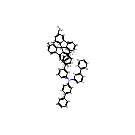 Cc1cc(C(C)(C)C)cc2c1C1(c3ccccc3-2)c2c(C)cc(C(C)(C)C)cc2-c2cccc(-c3ccc(-c4cccc(N(c5ccc(-c6ccccc6)cc5)c5cccc(-c6ccccc6)c5)c4)cc3)c21